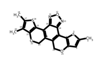 Cc1cc2c(s1)-c1c(c3c(c4nonc14)-c1sc(C)c(C)c1OC3)CO2